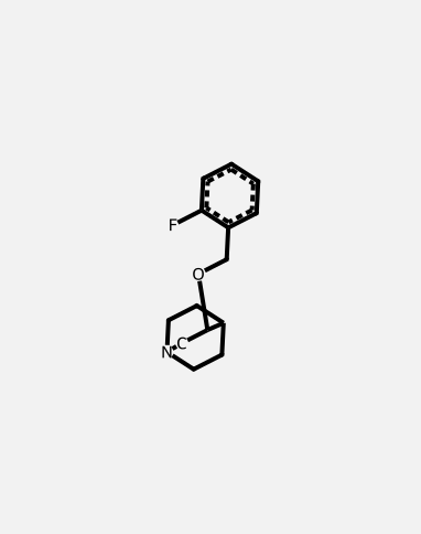 Fc1ccccc1COC1CN2CCC1CC2